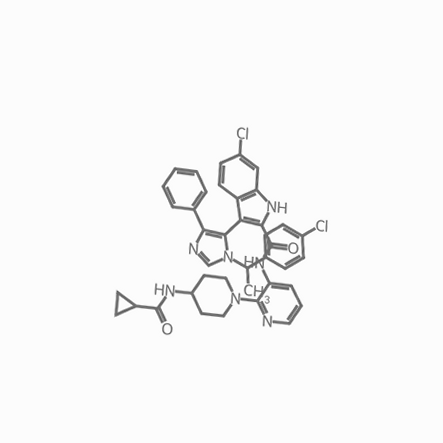 CC(c1ccc(Cl)cc1)n1cnc(-c2ccccc2)c1-c1c(C(=O)Nc2cccnc2N2CCC(NC(=O)C3CC3)CC2)[nH]c2cc(Cl)ccc12